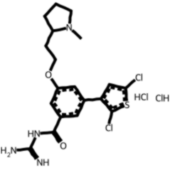 CN1CCCC1CCOc1cc(C(=O)NC(=N)N)cc(-c2cc(Cl)sc2Cl)c1.Cl.Cl